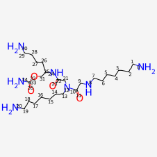 NCCCCCCCNCC(=O)N(CCCCCCCN)CC(=O)NC(CCCCN)COC(N)=O